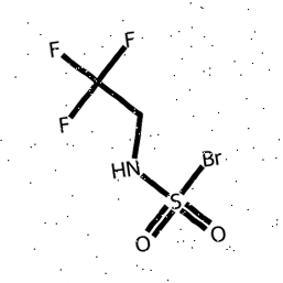 O=S(=O)(Br)NCC(F)(F)F